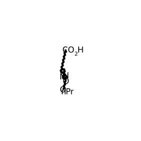 CCCOCCCCOc1cnc(-c2ccc(CCCCCCCCCCC(=O)O)cc2)nc1